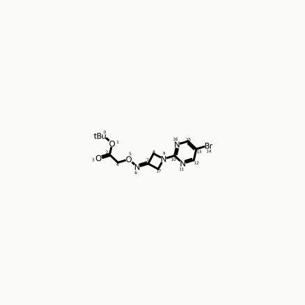 CC(C)(C)OC(=O)CON=C1CN(c2ncc(Br)cn2)C1